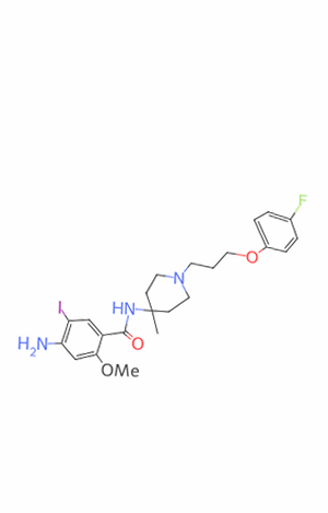 COc1cc(N)c(I)cc1C(=O)NC1(C)CCN(CCCOc2ccc(F)cc2)CC1